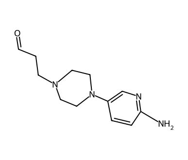 Nc1ccc(N2CCN(CCC=O)CC2)cn1